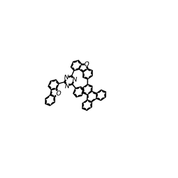 c1ccc(-c2nc(-c3cccc4c3oc3ccccc34)nc(-c3cccc4oc5ccc(-c6ccc7c8ccccc8c8ccccc8c7c6)cc5c34)n2)cc1